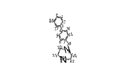 c1ccc(-c2ccc(CN3CC[N]CC3)cc2)cc1